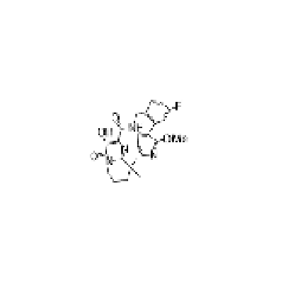 COc1ncccc1-c1cc(F)ccc1CNC(=O)c1nc2n(c(=O)c1O)CCCC2(C)C